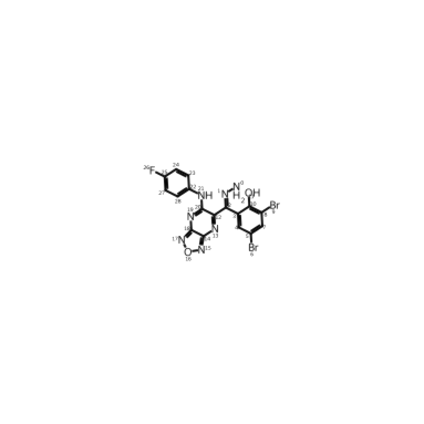 N/N=C(\c1cc(Br)cc(Br)c1O)c1nc2nonc2nc1Nc1ccc(F)cc1